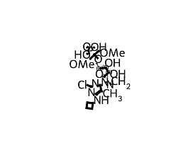 C=NN(c1nc(Cl)nc(NC2CCC2)c1C)[C@@H]1O[C@H](COC(COC)(COC)P(=O)(O)O)[C@@H](O)[C@H]1O